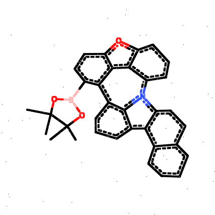 CC1(C)OB(c2ccc3oc4cccc5c4c3c2c2cccc3c4c6ccccc6ccc4n5c23)OC1(C)C